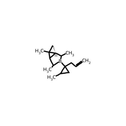 C=CCC1(B2C(C)C3C4(C)C[C@]34C2C)CC1C